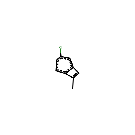 CC1=Cc2cc(Cl)ccc21